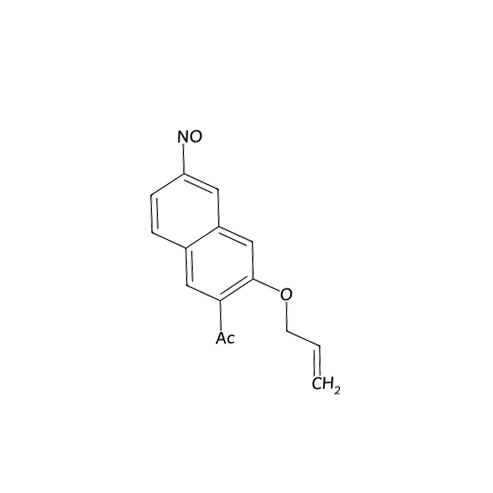 C=CCOc1cc2cc(N=O)ccc2cc1C(C)=O